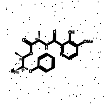 CC[C@H](C)[C@@H](Oc1ccccc1)[C@H](C)OC(=O)[C@H](C)NC(=O)c1nccc(OC)c1O